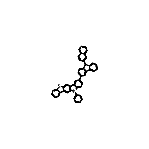 c1ccc(-n2c3ccc(-c4ccc5c(c4)-c4ccccc4C5c4ccc5ccccc5c4)cc3c3cc4sc5ccccc5c4cc32)cc1